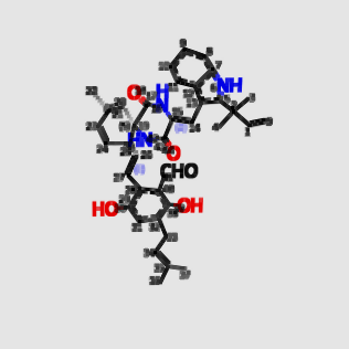 C=CC(C)(C)c1[nH]c2ccccc2c1/C=C1\NC(=O)[C@@]2(C[C@@H](C)C=C[C@H]2/C=C/c2c(O)cc(CC=C(C)C)c(O)c2C=O)NC1=O